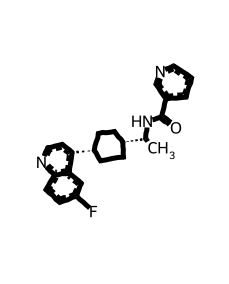 CC(NC(=O)c1cccnc1)[C@H]1CC[C@@H](c2ccnc3ccc(F)cc32)CC1